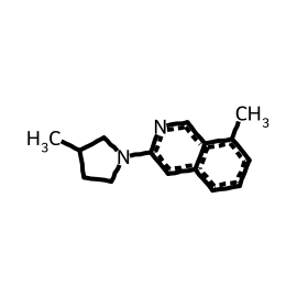 Cc1cccc2cc(N3CCC(C)C3)ncc12